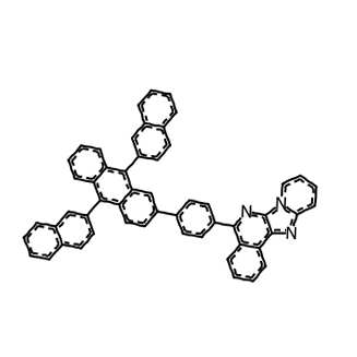 c1ccc2cc(-c3c4ccccc4c(-c4ccc5ccccc5c4)c4cc(-c5ccc(-c6nc7c(nc8ccccn87)c7ccccc67)cc5)ccc34)ccc2c1